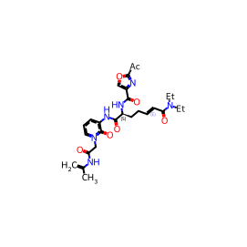 C=C(C)NC(=O)Cn1cccc(NC(=O)[C@H](CC/C=C/C(=O)N(CC)CC)NC(=O)c2coc(C(C)=O)n2)c1=O